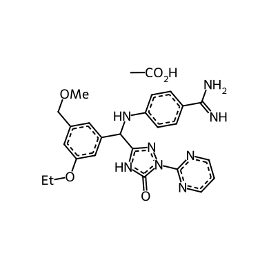 CC(=O)O.CCOc1cc(COC)cc(C(Nc2ccc(C(=N)N)cc2)c2nn(-c3ncccn3)c(=O)[nH]2)c1